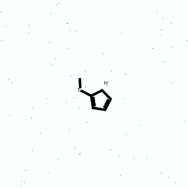 [CH3][Ti][C]1=CC=CC1.[H-]